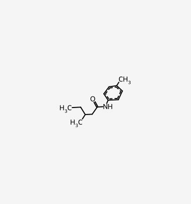 CCC(C)CC(=O)Nc1ccc(C)cc1